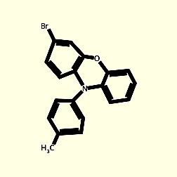 Cc1ccc(N2c3ccccc3Oc3cc(Br)ccc32)cc1